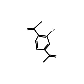 C=C(C)c1ccc(C(=C)C)c(Br)c1